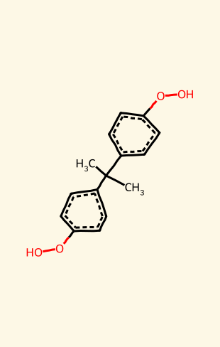 CC(C)(c1ccc(OO)cc1)c1ccc(OO)cc1